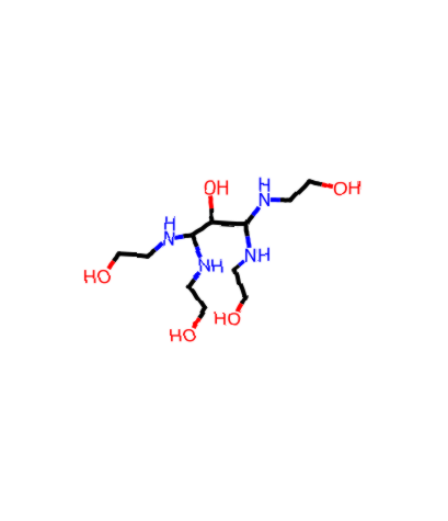 OCCNC(NCCO)C(O)C(NCCO)NCCO